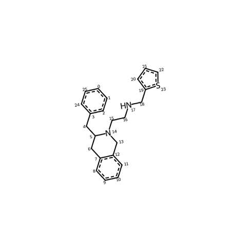 c1ccc(CC2Cc3ccccc3CN2CCNCc2cccs2)cc1